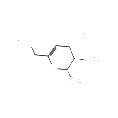 CC(=O)OCC1=C[C@H](OC(C)=O)[C@@H](OC(C)=O)[C@@H](OC(C)=O)O1